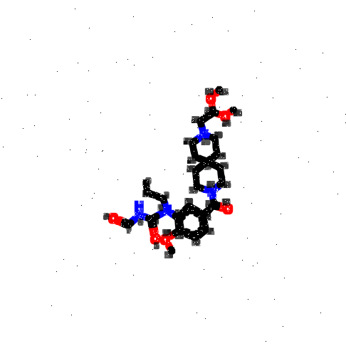 CCCN(C(=O)NC=O)c1cc(C(=O)N2CCC3(CCN(CC(OC)OC)CC3)CC2)ccc1OC